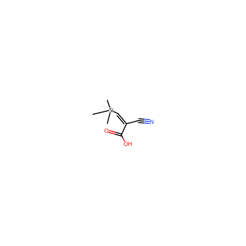 C[Si](C)(C)C=C(C#N)C(=O)O